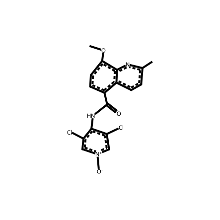 COc1ccc(C(=O)Nc2c(Cl)c[n+]([O-])cc2Cl)c2ccc(C)nc12